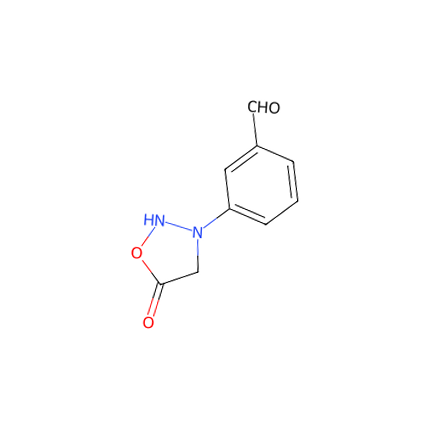 O=Cc1cccc(N2CC(=O)ON2)c1